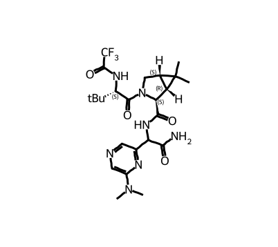 CN(C)c1cncc(C(NC(=O)[C@@H]2[C@@H]3[C@H](CN2C(=O)[C@@H](NC(=O)C(F)(F)F)C(C)(C)C)C3(C)C)C(N)=O)n1